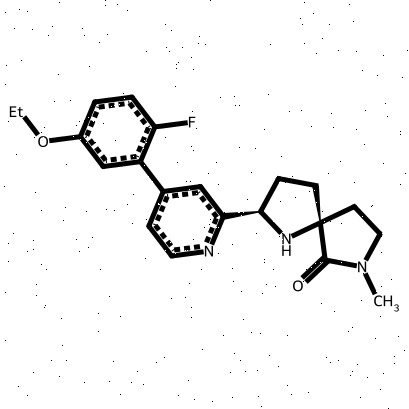 CCOc1ccc(F)c(-c2ccnc([C@H]3CC[C@]4(CCN(C)C4=O)N3)c2)c1